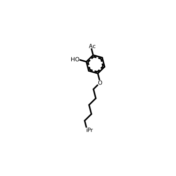 CC(=O)c1ccc(OCCCCCC(C)C)cc1O